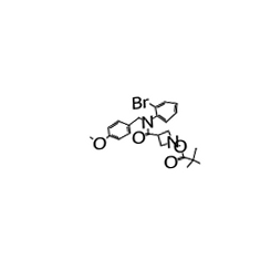 COc1ccc(CN(C(=O)C2CN(OC(=O)C(C)(C)C)C2)c2ccccc2Br)cc1